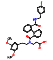 COc1cc(CCN(CCC(=O)O)C(=O)c2ccccc2-c2ccccc2C(=O)NCc2ccc(F)cc2)cc(OC)c1